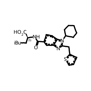 CCC(C)C[C@H](NC(=O)c1ccc2c(c1)nc(Cc1cccs1)n2C1CCCCC1)C(=O)O